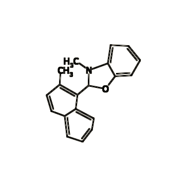 Cc1ccc2ccccc2c1C1Oc2ccccc2N1C